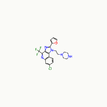 FC(F)(F)c1nc2cc(Cl)ccc2c2c1nc(-c1ccco1)n2CCN1CCNCC1